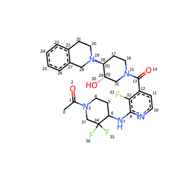 CC(=O)N1CCC(Nc2nccc(C(=O)N3CC[C@H](N4CCc5ccccc5C4)[C@@H](O)C3)c2F)C(F)(F)C1